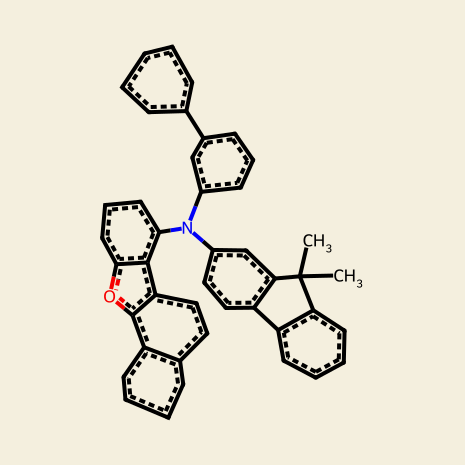 CC1(C)c2ccccc2-c2ccc(N(c3cccc(-c4ccccc4)c3)c3cccc4oc5c6ccccc6ccc5c34)cc21